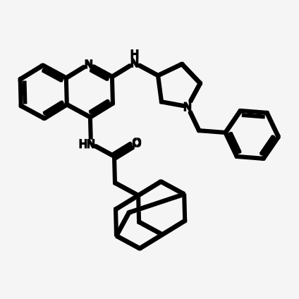 O=C(CC12CC3CC(CC(C3)C1)C2)Nc1cc(NC2CCN(Cc3ccccc3)C2)nc2ccccc12